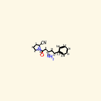 N#C[C@@H]1CCCN1C(=O)C[C@@H](N)CCc1ccccc1